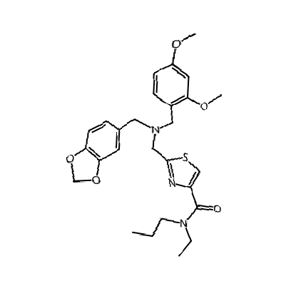 CCCN(CC)C(=O)c1csc(CN(Cc2ccc3c(c2)OCO3)Cc2ccc(OC)cc2OC)n1